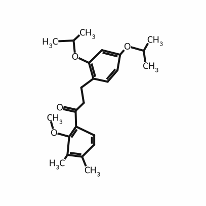 COc1c(C(=O)CCc2ccc(OC(C)C)cc2OC(C)C)ccc(C)c1C